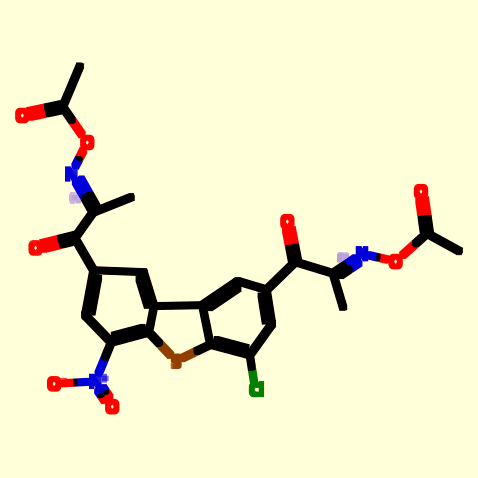 CC(=O)O/N=C(\C)C(=O)c1cc(Cl)c2sc3c([N+](=O)[O-])cc(C(=O)/C(C)=N/OC(C)=O)cc3c2c1